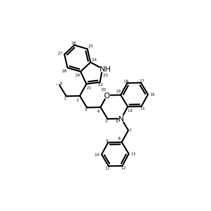 [CH2]CC(CC1CN(Cc2ccccc2)c2ccccc2O1)c1c[nH]c2ccccc12